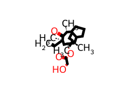 C=C[C@]1(C)C[C@@H](OC(=O)CO)[C@]2(C)C(C)CC[C@]3(CCCC32)[C@@H](C)C1=O